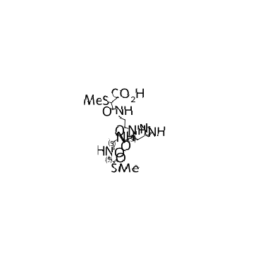 CSC(=O)[C@H](C)NC(=O)[C@H](C)NC(=O)[C@H](Cc1c[nH]cn1)NC(=O)CCNC(=O)C(CC(=O)O)SC